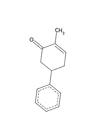 CC1=CCC(c2ccccc2)CC1=O